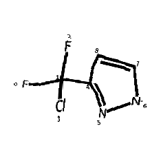 FC(F)(Cl)C1=N[N]C=C1